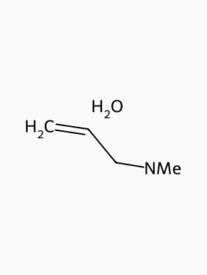 C=CCNC.O